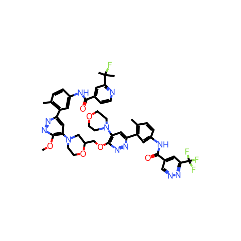 COc1nnc(-c2cc(NC(=O)c3ccnc(C(C)(C)F)c3)ccc2C)cc1N1CCOC(COc2nnc(-c3cc(NC(=O)c4cnnc(C(F)(F)F)c4)ccc3C)cc2N2CCOCC2)C1